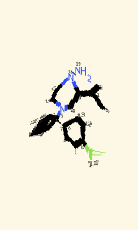 CC(C)=C1CN(C2([C@H]3CC=C(F)CC3)CC2)CCN1N